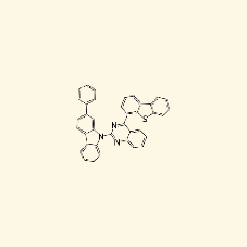 c1ccc(-c2ccc3c4ccccc4n(-c4nc(-c5cccc6c5sc5ccccc56)c5ccccc5n4)c3c2)cc1